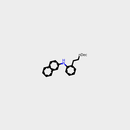 CCCCCCCCCCCCc1ccccc1Nc1ccc2ccccc2c1